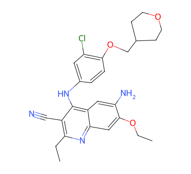 CCOc1cc2nc(CC)c(C#N)c(Nc3ccc(OCC4CCOCC4)c(Cl)c3)c2cc1N